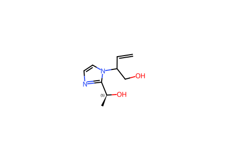 C=CC(CO)n1ccnc1[C@H](C)O